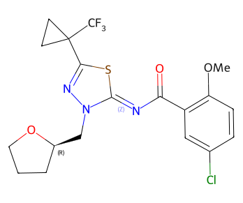 COc1ccc(Cl)cc1C(=O)/N=c1\sc(C2(C(F)(F)F)CC2)nn1C[C@H]1CCCO1